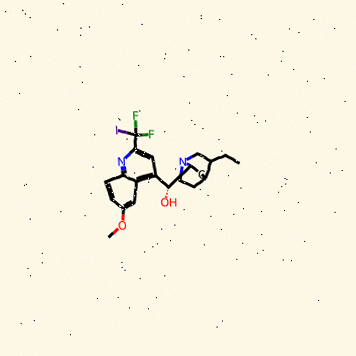 CCC1CN2CCC1CC2[C@H](O)c1cc(C(F)(F)I)nc2ccc(OC)cc12